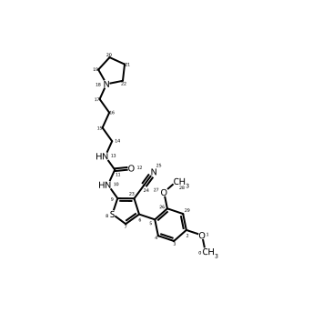 COc1ccc(-c2csc(NC(=O)NCCCCN3CCCC3)c2C#N)c(OC)c1